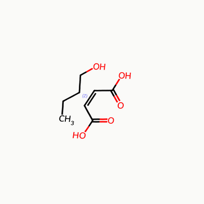 CCCCO.O=C(O)/C=C\C(=O)O